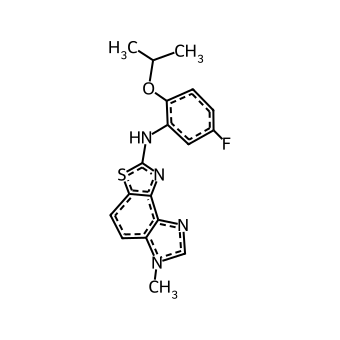 CC(C)Oc1ccc(F)cc1Nc1nc2c(ccc3c2ncn3C)s1